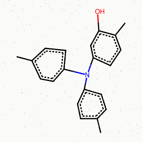 Cc1ccc(N(c2ccc(C)cc2)c2ccc(C)c(O)c2)cc1